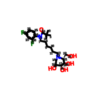 CC(C)(C)C(=O)N(CCCCCCN1C[C@H](O)[C@@H](O)[C@H](O)[C@H]1CO)c1ccc(F)cc1F